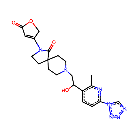 Cc1nc(-n2cnnn2)ccc1C(O)CN1CCC2(CC1)CCN(C1=CC(=O)OC1)C2=O